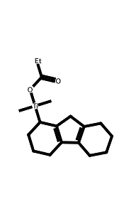 CCC(=O)[O][Ti]([CH3])([CH3])[CH]1CCCC2=C1CC1=C2CCCC1